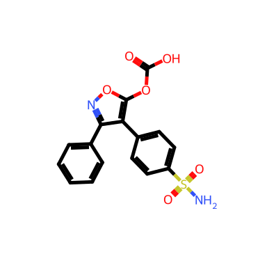 NS(=O)(=O)c1ccc(-c2c(-c3ccccc3)noc2OC(=O)O)cc1